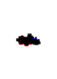 CCC(C)C(OC)C(=O)N1CC(=O)C2C1CCN2C(=O)C(CC(C)C)NC(=O)c1ccc(C(C)(C)C)cc1